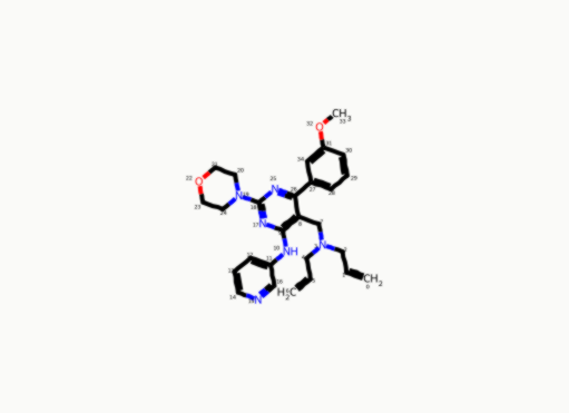 C=CCN(CC=C)Cc1c(Nc2cccnc2)nc(N2CCOCC2)nc1-c1cccc(OC)c1